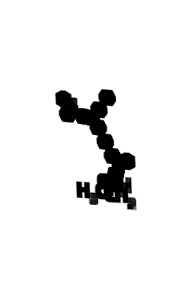 C=C(C)C(=O)Nc1ccc(-n2c3ccccc3c3cc(-c4ccc(-c5ccc(N(c6ccc(-c7ccccc7)cc6)c6ccc(-c7cccc8c7sc7ccccc78)cc6)cc5)cc4)ccc32)cc1